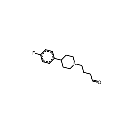 O=[C]CCCN1CCC(c2ccc(F)cc2)CC1